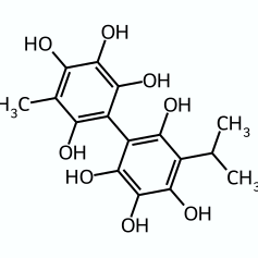 Cc1c(O)c(O)c(O)c(-c2c(O)c(O)c(O)c(C(C)C)c2O)c1O